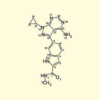 CNC(=O)c1cc2ccc(-c3nn(C4CC4)c4ncnc(N)c34)cc2[nH]1